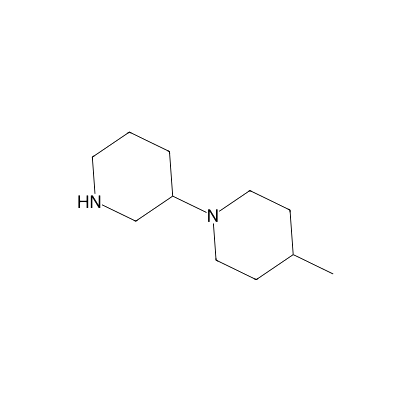 CC1CCN(C2CCCNC2)CC1